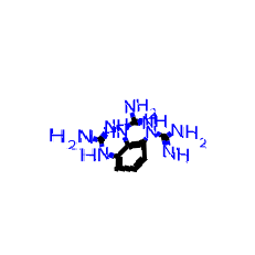 N=C(N)Nc1cccc(NC(=N)N)c1NC(=N)N